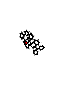 c1ccc(N(c2ccccc2)c2cc3c4ccccc4c(C4(c5ccccc5)c5ccccc5-c5ccccc5-c5ccccc54)cc3c3ccccc23)cc1